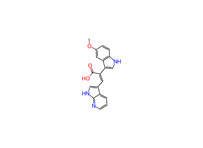 COc1ccc2[nH]cc(C(=Cc3c[nH]c4ncccc34)C(=O)O)c2c1